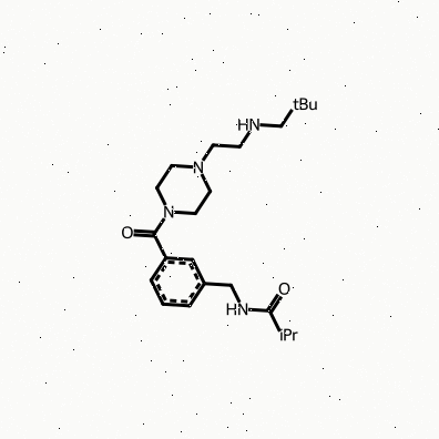 CC(C)C(=O)NCc1cccc(C(=O)N2CCN(CCNCC(C)(C)C)CC2)c1